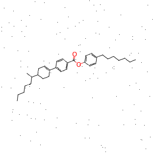 CCCCCCCc1ccc(OC(=O)c2ccc(C3=CCC(C(C)CCCCC)CC3)cc2)cc1